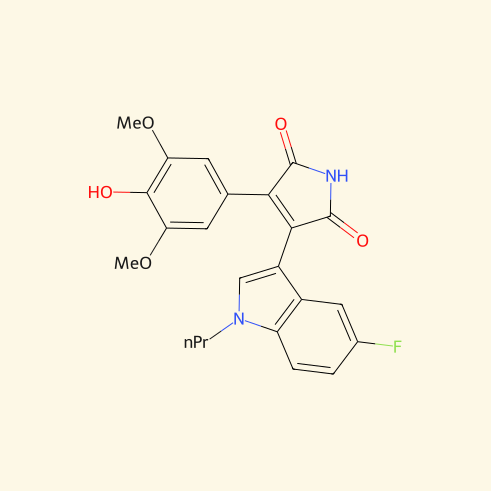 CCCn1cc(C2=C(c3cc(OC)c(O)c(OC)c3)C(=O)NC2=O)c2cc(F)ccc21